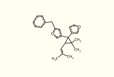 CC(C)=CC1C(C)(C)C1(c1ccoc1)c1coc(Cc2ccccc2)c1